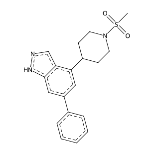 CS(=O)(=O)N1CCC(c2cc(-c3ccccc3)cc3[nH]ncc23)CC1